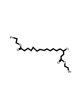 CCC(CCCCCCCCCCCCC(=O)OCCC(C)C)CCC(=O)OCCC(C)C